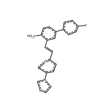 O=C(O)c1ccc(-c2ccc(F)cc2)cc1C=Cc1ccc(-n2ccnc2)cc1